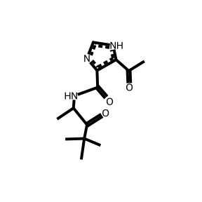 CC(=O)c1[nH]cnc1C(=O)NC(C)C(=O)C(C)(C)C